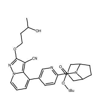 CC(O)CCOc1nn2cccc(-c3ccc(N4CC5CCC(C4)N5C(=O)OC(C)(C)C)nc3)c2c1C#N